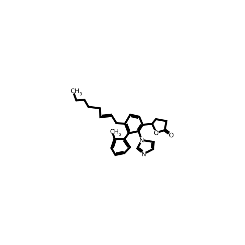 CCCCCC=CCc1ccc(C2CCC(=O)O2)c(-n2ccnc2)c1-c1ccccc1C